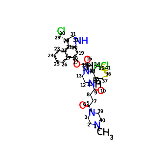 CN1CCN(C(=O)CCC(=O)N2CCN(C(=O)Oc3cc4c(c5ccccc35)[C@H](CCl)CN4)[C@@H]3CSSC[C@H]32)CC1.Cl